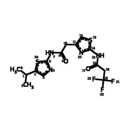 CC(C)c1cnc(NC(=O)Cc2csc(NC(=O)CC(F)(F)F)n2)s1